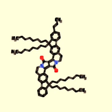 CC=Cc1ccc2c(c1)C(CCCCCCCC)(CCCCCCCC)c1cc3c(cc1-2)C=CN1C(=O)C2=C4c5cc6c(cc5C=CN4C(=O)C2=C31)-c1ccccc1C6(CCCCCCCC)CCCCCCCC